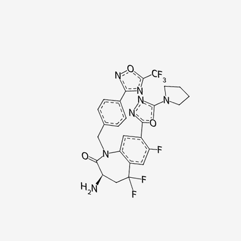 N[C@@H]1CC(F)(F)c2cc(F)c(-c3nnc(N4CCCC4)o3)cc2N(Cc2ccc(-c3noc(C(F)(F)F)n3)cc2)C1=O